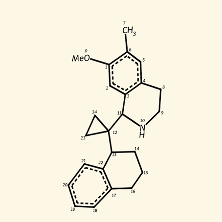 COc1cc2c(cc1C)CCNC2C1(C2CCCc3ccccc32)CC1